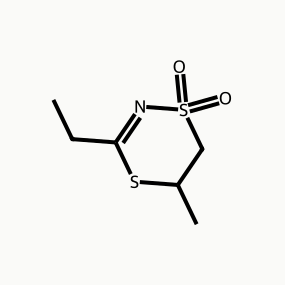 CCC1=NS(=O)(=O)CC(C)S1